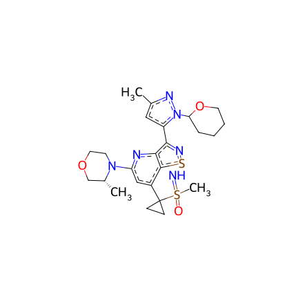 Cc1cc(-c2nsc3c(C4(S(C)(=N)=O)CC4)cc(N4CCOC[C@H]4C)nc23)n(C2CCCCO2)n1